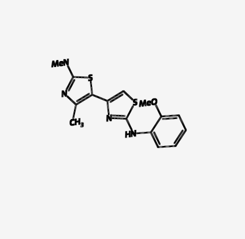 CNc1nc(C)c(-c2csc(Nc3ccccc3OC)n2)s1